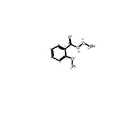 CC(C)Oc1ccccc1C(=O)OOC(C)(C)C